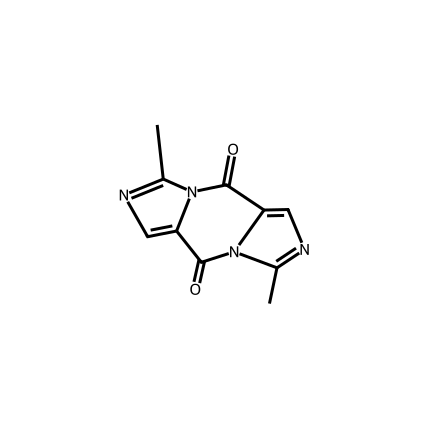 Cc1ncc2c(=O)n3c(C)ncc3c(=O)n12